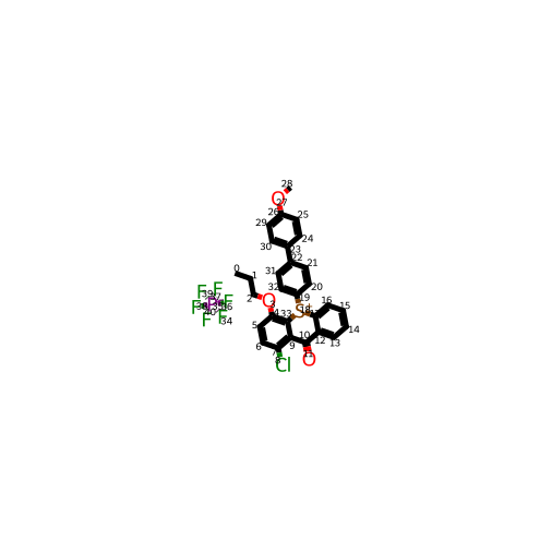 CCCOc1ccc(Cl)c2c(=O)c3ccccc3[s+](-c3ccc(-c4ccc(OC)cc4)cc3)c12.F[P-](F)(F)(F)(F)F